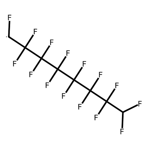 F[CH]C(F)(F)C(F)(F)C(F)(F)C(F)(F)C(F)(F)C(F)(F)C(F)F